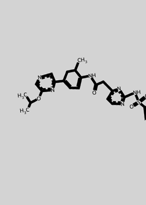 CC(C)Oc1cncc(C2=CC=C(NC(=O)Cc3ccnc(NS(=O)(=O)C4CC4)n3)C(C)C2)n1